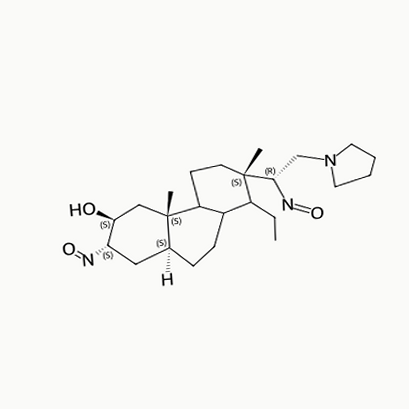 CCC1C2CC[C@H]3C[C@H](N=O)[C@@H](O)C[C@]3(C)C2CC[C@]1(C)[C@H](CN1CCCC1)N=O